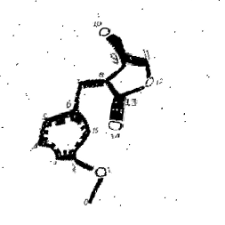 COc1cccc(C=C2C(=O)COC2=O)c1